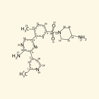 Cc1cc(-c2nc(-c3cc(S(=O)(=O)N4CCC(N)CC4)ccc3C)cnc2N)ccn1